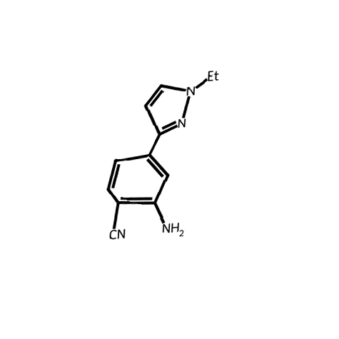 CCn1ccc(-c2ccc(C#N)c(N)c2)n1